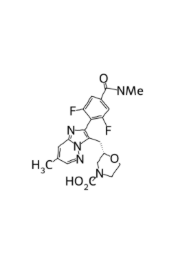 CNC(=O)c1cc(F)c(-c2nc3cc(C)cnn3c2C[C@H]2CN(C(=O)O)CCO2)c(F)c1